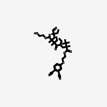 CCC(CC(C)(C(=O)OCCOc1ccc(C#N)c(C#N)c1)C(C)(C)C)C(=O)C(C)(CC)C(C)(CC(C)(C=O)CC)C(=O)OCCO